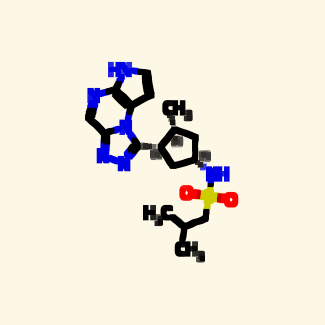 CC(C)CS(=O)(=O)N[C@H]1C[C@@H](C)[C@@H](c2nnc3cnc4[nH]ccc4n23)C1